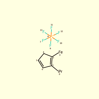 CC(C)C1=[C]([Fe])CC=C1.F[P-](F)(F)(F)(F)F